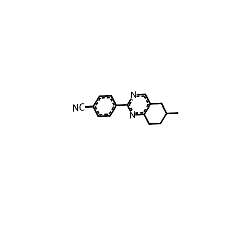 CC1CCc2nc(-c3ccc(C#N)cc3)ncc2C1